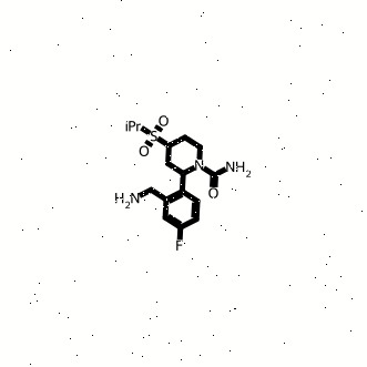 CC(C)S(=O)(=O)C1CCN(C(N)=O)C(c2ccc(F)cc2CN)C1